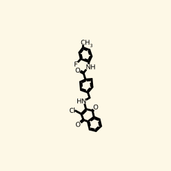 Cc1ccc(NC(=O)c2ccc(CNC3=C(Cl)C(=O)c4ccccc4C3=O)cc2)c(F)c1